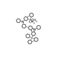 CC1(C)c2ccccc2-c2ccc(N(c3ccccc3)c3cccc(-c4ccc5c(c4)c4cc(C6(c7ccccc7)c7ccccc7-c7ccccc76)ccc4n5-c4ccccc4)c3)cc21